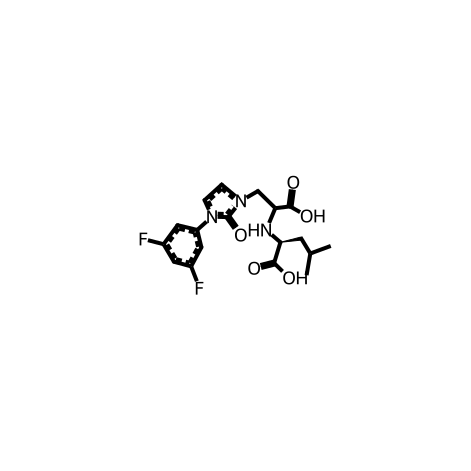 CC(C)C[C@H](NC(Cn1ccn(-c2cc(F)cc(F)c2)c1=O)C(=O)O)C(=O)O